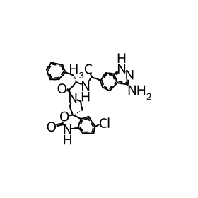 CC(N[C@@H](Cc1ccccc1)C(=O)N1CC[C@@]2(C1)OC(=O)Nc1ccc(Cl)cc12)c1ccc2c(N)n[nH]c2c1